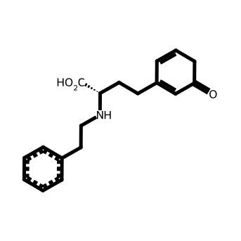 O=C1C=C(CC[C@H](NCCc2ccccc2)C(=O)O)C=CC1